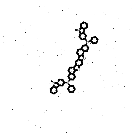 Cn1c2ccccc2c2cc(N(c3ccccc3)c3ccc4c(ccc5c6cc7c(cc6oc45)oc4c5ccc(N(c6ccccc6)c6ccc8c(c6)c6ccccc6n8C)cc5ccc74)c3)ccc21